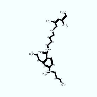 C/C=C(C)\C=C(\C)CNCCCCNC(=O)c1ccc(N(C)CCCC)cc1CCC